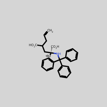 C=CCC(C[C@](NC(c1ccccc1)(c1ccccc1)c1ccccc1)(C(=O)O)C(C)(C)C)C(=O)O